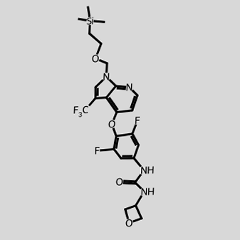 C[Si](C)(C)CCOCn1cc(C(F)(F)F)c2c(Oc3c(F)cc(NC(=O)NC4COC4)cc3F)ccnc21